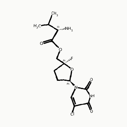 CC(C)[C@H](N)C(=O)OC[C@]1(F)CC[C@H](n2cc(Cl)c(=O)[nH]c2=O)O1